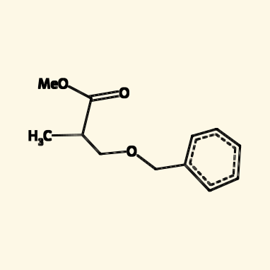 COC(=O)C(C)COCc1ccccc1